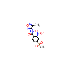 Cc1nonc1NC(=O)c1ccc(S(C)(=O)=O)cc1[N+](=O)[O-]